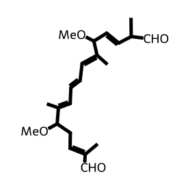 COC(/C=C/C(C)C=O)/C(C)=C/C=C/C=C(\C)C(C/C=C(\C)C=O)OC